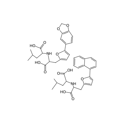 CC(C)CC(NC(Cc1ccc(-c2ccc3c(c2)OCO3)o1)C(=O)O)C(=O)O.CC(C)CC(NC(Cc1ccc(-c2cccc3ccccc23)o1)C(=O)O)C(=O)O